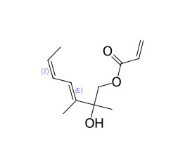 C=CC(=O)OCC(C)(O)/C(C)=C/C=C\C